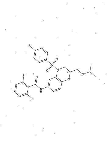 CC(C)OCC1CN(S(=O)(=O)c2ccc(F)cc2)c2cc(NC(=O)c3c(F)cccc3Cl)ccc2O1